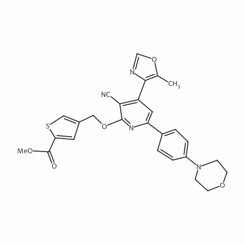 COC(=O)c1cc(COc2nc(-c3ccc(N4CCOCC4)cc3)cc(-c3ncoc3C)c2C#N)cs1